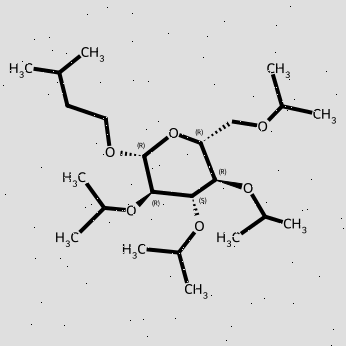 CC(C)CCO[C@@H]1O[C@H](COC(C)C)[C@@H](OC(C)C)[C@H](OC(C)C)[C@H]1OC(C)C